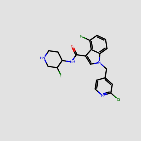 O=C(NC1CCNCC1F)c1cn(Cc2ccnc(Cl)c2)c2cccc(F)c12